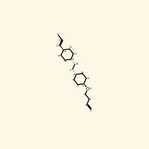 C=CCCO[C@H]1CC[C@H](CC[C@H]2CC[C@H](C=CC)CC2)CC1